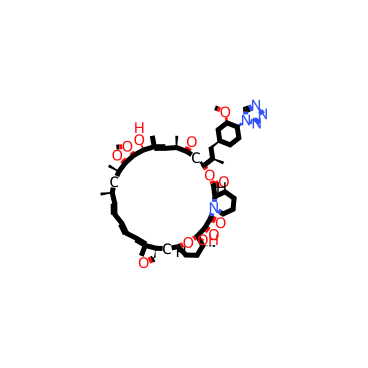 COC1C(=O)[C@H](C)C[C@H](C)/C=C/C=C/C=C(\C)[C@@H](C=O)C[C@@H]2CC[C@@H](C)[C@@](O)(O2)C(=O)C(=O)N2CCCC[C@H]2C(=O)O[C@H]([C@H](C)C[C@@H]2CC[C@H](n3cnnn3)[C@H](OC)C2)CC(=O)[C@H](C)/C=C(\C)[C@H]1O